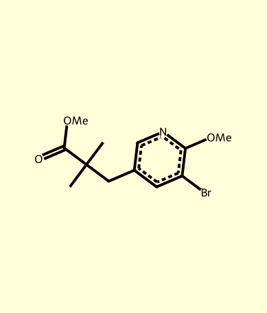 COC(=O)C(C)(C)Cc1cnc(OC)c(Br)c1